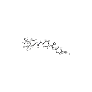 C/C(=C\c1ccc(C(=O)Oc2ccc(N)cc2)cc1)c1ccc2c(c1)C(C)(C)CCC2(C)C